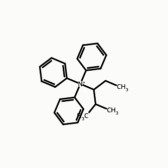 CCC(C(C)C)[N+](c1ccccc1)(c1ccccc1)c1ccccc1